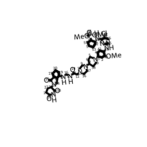 COc1cc(N2CCC(N3CCN(CC(=O)NCNc4cccc5c4CN(C4CCC(=O)NC4=O)C5=O)CC3)CC2)ccc1Nc1ncc(Cl)c(Nc2ccccc2P(=O)(OC)OC)n1